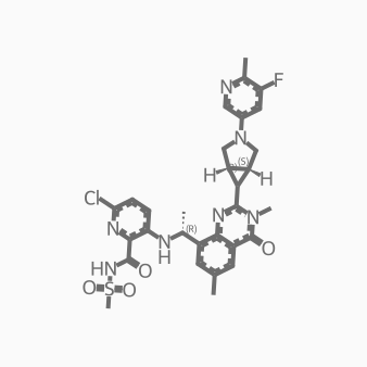 Cc1cc([C@@H](C)Nc2ccc(Cl)nc2C(=O)NS(C)(=O)=O)c2nc(C3[C@H]4CN(c5cnc(C)c(F)c5)C[C@@H]34)n(C)c(=O)c2c1